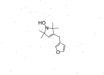 CC1(C)C=C(Cc2ccoc2)C(C)(C)N1O